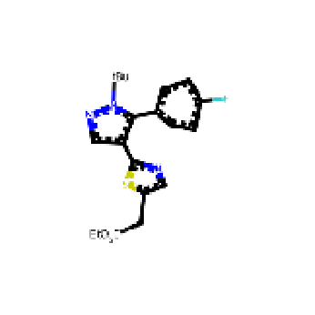 CCOC(=O)Cc1cnc(-c2cnn(C(C)(C)C)c2-c2ccc(F)cc2)s1